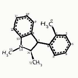 Cc1ccccc1C1c2ccccc2N(C)[C@@H]1C